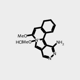 COC1=CC2=C(C=CCC2)C2=c3c(N)nncc3=C[N+]12OC.Cl